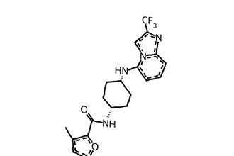 Cc1cnoc1C(=O)N[C@H]1CC[C@@H](Nc2cccc3nc(C(F)(F)F)cn23)CC1